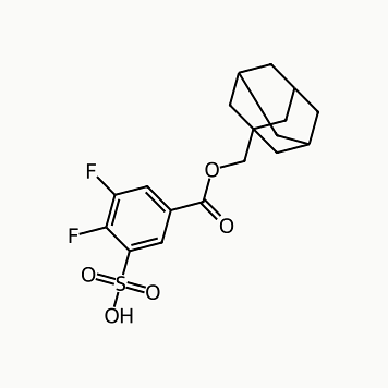 O=C(OCC12CC3CC(CC(C3)C1)C2)c1cc(F)c(F)c(S(=O)(=O)O)c1